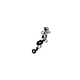 Cc1cc(NC(=O)N2CCN(C(=O)c3cccc(OCCC4CCCCC4)c3)CC2)no1